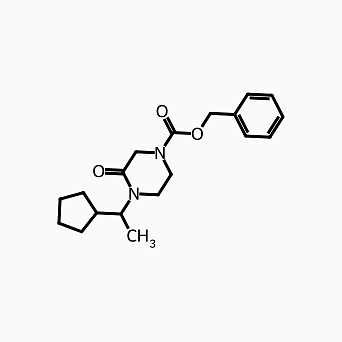 CC(C1CCCC1)N1CCN(C(=O)OCc2ccccc2)CC1=O